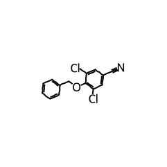 N#Cc1cc(Cl)c(OCc2ccccc2)c(Cl)c1